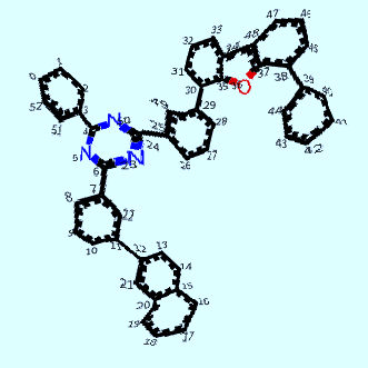 c1ccc(-c2nc(-c3cccc(-c4ccc5ccccc5c4)c3)nc(-c3cccc(-c4cccc5c4oc4c(-c6ccccc6)cccc45)c3)n2)cc1